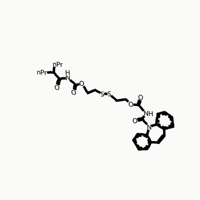 CCCC(CCC)C(=O)NC(=O)OCCSSCCOC(=O)NC(=O)N1c2ccccc2C=Cc2ccccc21